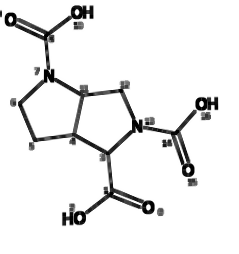 O=C(O)C1C2CCN(C(=O)O)C2CN1C(=O)O